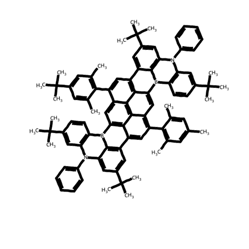 Cc1cc(C)c(-c2cc3c4c(cc5c(-c6c(C)cc(C(C)(C)C)cc6C)cc6c7c(cc2c4c57)B2c4ccc(C(C)(C)C)cc4N(c4ccccc4)c4cc(C(C)(C)C)cc-6c42)B2c4ccc(C(C)(C)C)cc4N(c4ccccc4)c4cc(C(C)(C)C)cc-3c42)c(C)c1